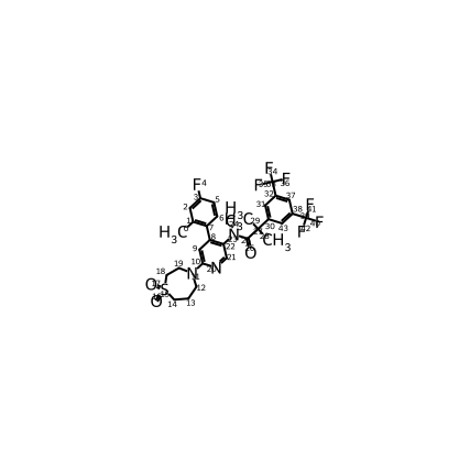 Cc1cc(F)ccc1-c1cc(N2CCCS(=O)(=O)CC2)ncc1N(C)C(=O)C(C)(C)c1cc(C(F)(F)F)cc(C(F)(F)F)c1